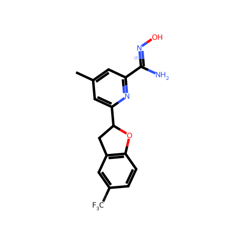 Cc1cc(/C(N)=N/O)nc(C2Cc3cc(C(F)(F)F)ccc3O2)c1